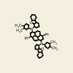 Cc1ccc(N(c2cc(C(C)C)c3ccc4c(N(c5ccc(C)c(C)c5)c5cccc6c5oc5ccccc56)cc(C(C)C)c5ccc2c3c54)c2cccc3c2oc2ccccc23)cc1C